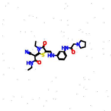 CCNC(=O)C(C#N)=c1sc(=CNc2cccc(NC(=O)CN3CCCC3)c2)c(=O)n1CC